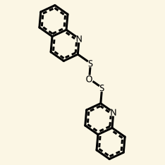 c1ccc2nc(SOSc3ccc4ccccc4n3)ccc2c1